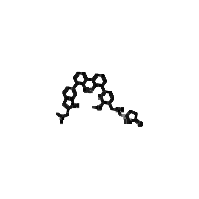 COc1nc(-c2cccc(-c3cccc(-c4ccc5cc(CN(C)C)[nH]c5c4)c3Cl)c2Cl)ccc1CNC[C@@H]1CCC(=O)N1